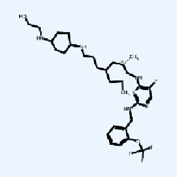 CCCC(CCCNC1CCC(NCCO)CC1)C[C@H](C)CNc1nc(NCc2ccccc2OC(F)(F)F)ncc1F